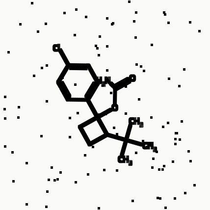 CC(C)(C)C1CCC1(OC(N)=O)c1ccc(Cl)cc1